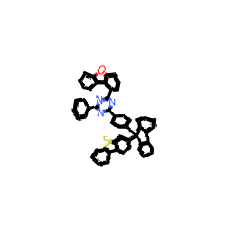 c1ccc(-c2nc(-c3ccc(C4(c5ccc6c(c5)sc5ccccc56)c5ccccc5-c5ccccc54)cc3)nc(-c3cccc4oc5ccccc5c34)n2)cc1